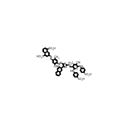 COc1cc(/N=N/C2=CC3C(S(=O)(=O)O)=CC=CC3C(S(=O)(=O)O)=C2)c(C)cc1/N=N/c1sc(/N=N/c2c(Nc3ccc(S(=O)(=O)O)cc3)nc(Nc3ccc(S(=O)(=O)O)cc3)c(C#N)c2C)nc1-c1ccc2ccccc2c1